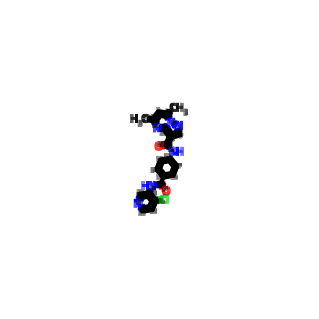 Cc1cc(C)n2ncc(C(=O)N[C@H]3CC[C@H](C(=O)Nc4cnccc4Cl)CC3)c2n1